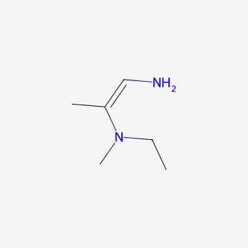 CCN(C)/C(C)=C\N